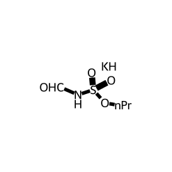 CCCOS(=O)(=O)NC=O.[KH]